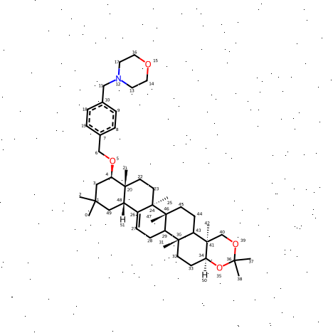 CC1(C)C[C@@H](OCc2ccc(CN3CCOCC3)cc2)[C@]2(C)CC[C@]3(C)C(=CCC4[C@@]5(C)CC[C@@H]6OC(C)(C)OC[C@]6(C)C5CC[C@]43C)[C@@H]2C1